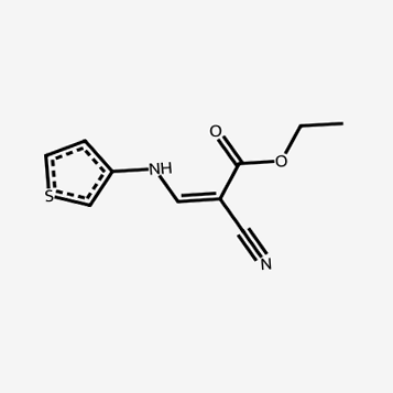 CCOC(=O)C(C#N)=CNc1ccsc1